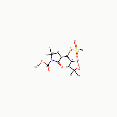 CC(C)(C)OC(=O)N1C(=O)C(C(OS(C)(=O)=O)[C@H]2COC(C)(C)C2)CC1(C)C